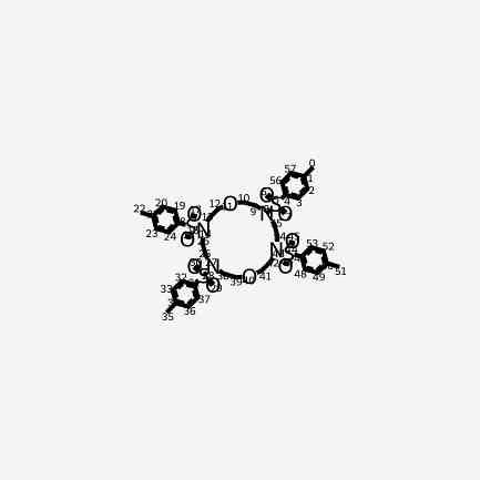 Cc1ccc(S(=O)(=O)N2CCOCCN(S(=O)(=O)c3ccc(C)cc3)CCN(S(=O)(=O)c3ccc(C)cc3)CCOCCN(S(=O)(=O)c3ccc(C)cc3)CC2)cc1